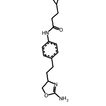 NC1=NC(CCc2ccc(NC(=O)CCC3CC3)cc2)CO1